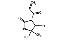 C=CC(=O)[C@H]1C(=O)NC(C)(C)C1C(C)C